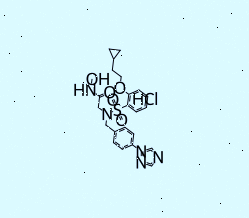 Cl.O=C(CN(Cc1ccc(-n2cncn2)cc1)S(=O)(=O)c1ccccc1OCCC1CC1)NO